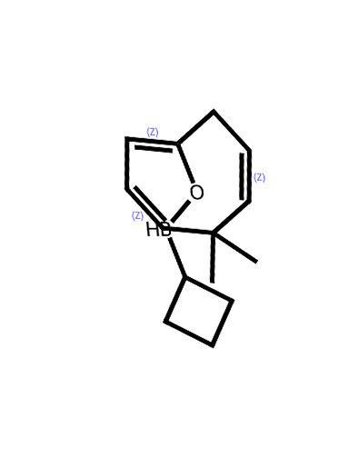 CC1(C)/C=C\C=C(/OBC2CCC2)C/C=C\1